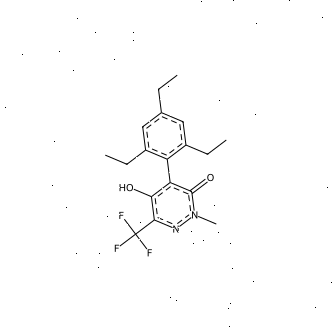 CCc1cc(CC)c(-c2c(O)c(C(F)(F)F)nn(C)c2=O)c(CC)c1